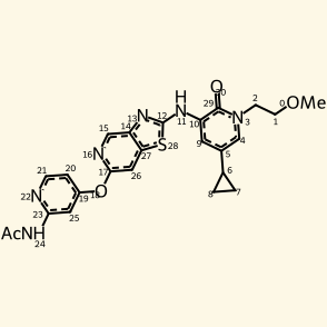 COCCn1cc(C2CC2)cc(Nc2nc3cnc(Oc4ccnc(NC(C)=O)c4)cc3s2)c1=O